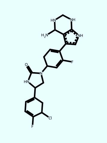 NC1NCNc2[nH]cc(C3=CCC(N4CC(C5=CC=C(F)C(Cl)C5)NC4=O)C=C3F)c21